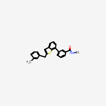 CCNC(=O)c1cccc(-c2cccc3cc(Cc4cccc(C(F)(F)F)c4)sc23)c1